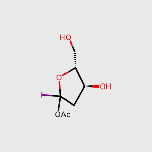 CC(=O)OC1(I)C[C@H](O)[C@@H](CO)O1